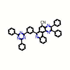 N#Cc1cc2c(-c3cccc(-c4nc(-c5ccccc5)nc(-c5ccccc5)n4)c3)nc3ccccc3c2c2nc(-c3ccccc3)c(-c3ccccc3)nc12